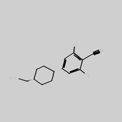 CC[C@H]1CC[C@H](c2cc(Cl)c(C#N)c(Cl)c2)CC1